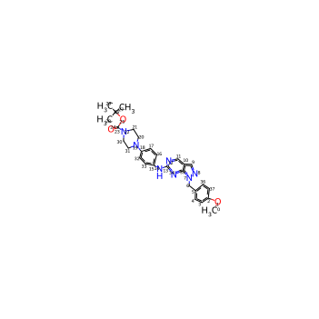 COc1ccc(Cn2ncc3cnc(Nc4ccc(N5CCN(C(=O)OC(C)(C)C)CC5)cc4)nc32)cc1